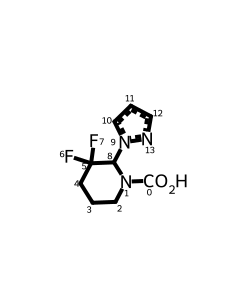 O=C(O)N1CCCC(F)(F)C1n1cccn1